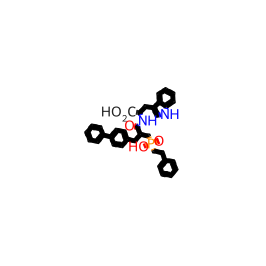 O=C(NC(Cc1c[nH]c2ccccc12)C(=O)O)C(Cc1ccc(-c2ccccc2)cc1)CP(=O)(O)CCc1ccccc1